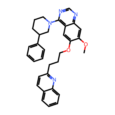 COc1cc2ncnc(N3CCCC(c4ccccc4)C3)c2cc1OCCCc1ccc2ccccc2n1